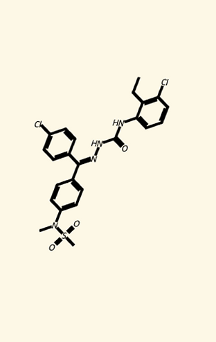 CCc1c(Cl)cccc1NC(=O)NN=C(c1ccc(Cl)cc1)c1ccc(N(C)S(C)(=O)=O)cc1